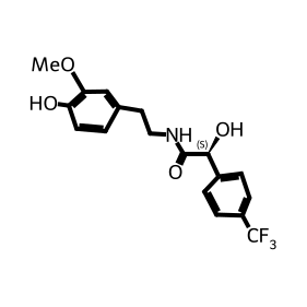 COc1cc(CCNC(=O)[C@@H](O)c2ccc(C(F)(F)F)cc2)ccc1O